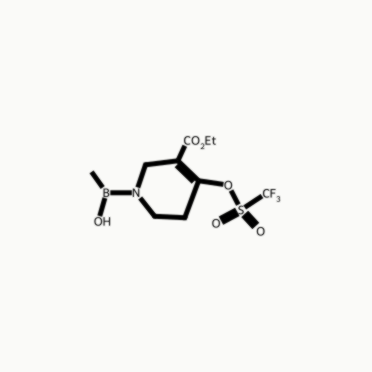 CCOC(=O)C1=C(OS(=O)(=O)C(F)(F)F)CCN(B(C)O)C1